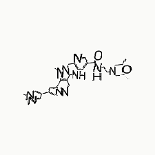 Cc1ncc(C(=O)NCCN2C[C@@H](C)O[C@H](C)C2)cc1Nc1nn(C)c2c1cnn1cc(-c3cnn(C)c3)cc21